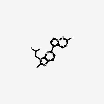 Cc1nc2ccc(-c3ccn4nc(Cl)ncc34)nc2n1CC(F)F